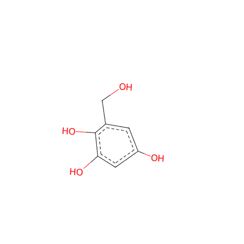 OCc1cc(O)cc(O)c1O